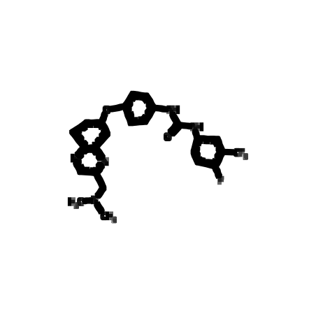 CN(C)Cc1cnc2ccc(Oc3ccc(NC(=O)Nc4ccc(F)c(C(F)(F)F)c4)cc3)cc2n1